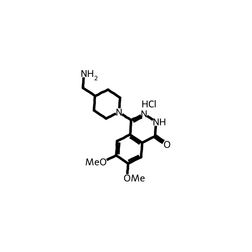 COc1cc2c(N3CCC(CN)CC3)n[nH]c(=O)c2cc1OC.Cl